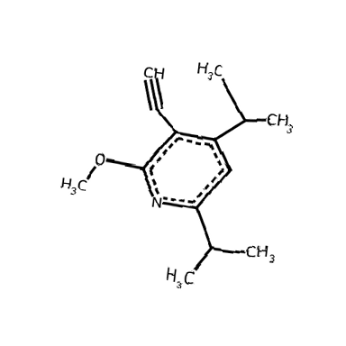 C#Cc1c(C(C)C)cc(C(C)C)nc1OC